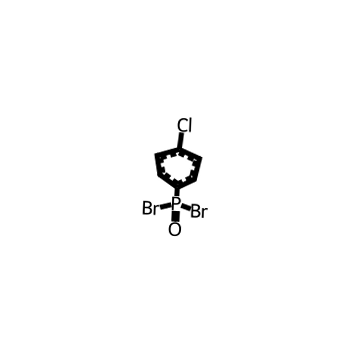 O=P(Br)(Br)c1ccc(Cl)cc1